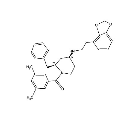 Cc1cc(C)cc(C(=O)N2CC[C@H](NCCc3cccc4c3OCO4)C[C@@H]2Cc2ccccc2)c1